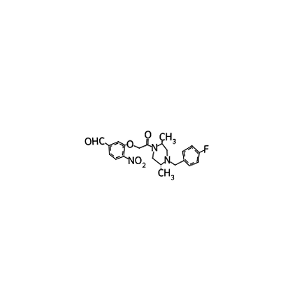 C[C@@H]1CN(C(=O)COc2cc(C=O)ccc2[N+](=O)[O-])[C@@H](C)CN1Cc1ccc(F)cc1